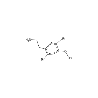 CC(C)Oc1cc(Br)c(CCN)cc1C(C)C